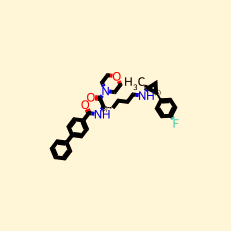 C[C@@]1(NCCCC[C@H](NC(=O)c2ccc(-c3ccccc3)cc2)C(=O)N2CCOCC2)C[C@H]1c1ccc(F)cc1